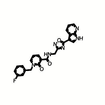 O=C(NCc1noc(-c2c[nH]c3ncccc23)n1)c1cccn(Cc2cccc(F)c2)c1=O